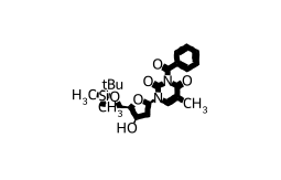 Cc1cn([C@H]2C[C@H](O)[C@@H](CO[Si](C)(C)C(C)(C)C)O2)c(=O)n(C(=O)c2ccccc2)c1=O